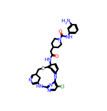 Nc1cccc(NC(=O)N2CCC(CC(=O)Nc3ccc4cc3CCC3C=NC=C(C3)Nc3ncc(Cl)c(n3)N4)CC2)c1